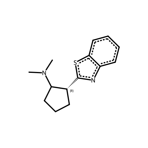 CN(C)C1CCC[C@H]1c1nc2ccccc2s1